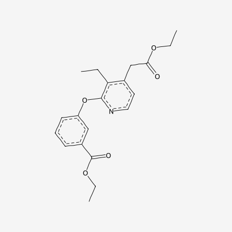 CCOC(=O)Cc1ccnc(Oc2cccc(C(=O)OCC)c2)c1CC